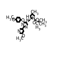 COc1ccc(Oc2nc(-c3cncc(OC)c3)ncc2NC[C@@H]2C[C@@H](C)CN2C(=O)OC(C)(C)C)cc1